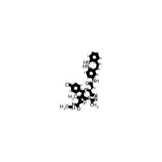 CCNC(=O)c1sc2c(c1C)C(c1ccc(Cl)cc1)=N[C@@H](CC(=O)Nc1ccc3c(c1)CCc1ccccc1NN3)c1nnc(C)n1-2